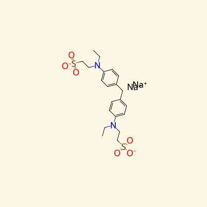 CCN(CCS(=O)(=O)[O-])c1ccc(Cc2ccc(N(CC)CCS(=O)(=O)[O-])cc2)cc1.[Na+].[Na+]